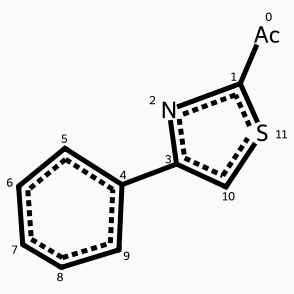 CC(=O)c1nc(-c2ccccc2)cs1